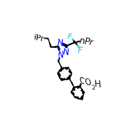 CCCC(F)(F)c1nc(CCC(C)C)n(Cc2ccc(-c3ccccc3C(=O)O)cc2)n1